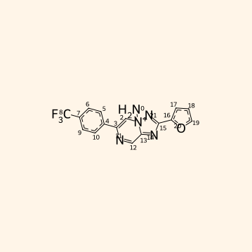 N[N+]12C=C(c3ccc(C(F)(F)F)cc3)N=CC1=NC(c1ccco1)=N2